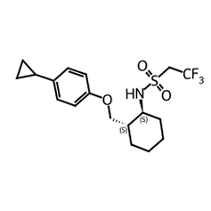 O=S(=O)(CC(F)(F)F)N[C@H]1CCCC[C@@H]1COc1ccc(C2CC2)cc1